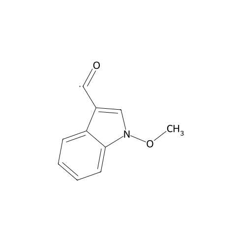 COn1cc([C]=O)c2ccccc21